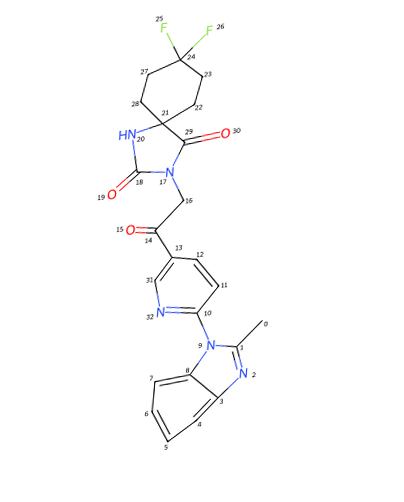 Cc1nc2ccccc2n1-c1ccc(C(=O)CN2C(=O)NC3(CCC(F)(F)CC3)C2=O)cn1